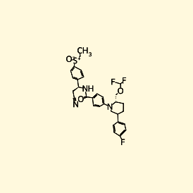 CC[S+]([O-])c1ccc([C@H](CC#N)NC(=O)c2ccc(N3CC(c4ccc(F)cc4)CC[C@H]3COC(F)F)cc2)cc1